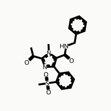 CC(=O)c1nc(-c2ccccc2S(C)(=O)=O)c(C(=O)NCc2ccccc2)n1C